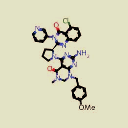 COc1ccc(CN2CN(C)C(=O)c3c2nc(N)nc3N2CCC[C@H]2c2nc3cccc(Cl)c3c(=O)n2-c2cccnc2)cc1